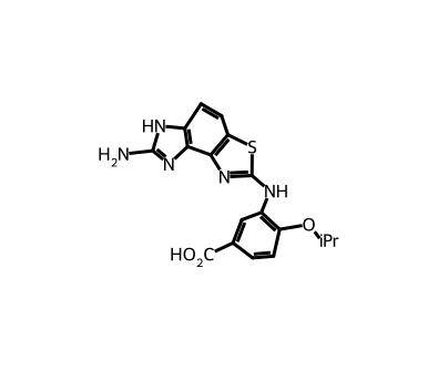 CC(C)Oc1ccc(C(=O)O)cc1Nc1nc2c(ccc3[nH]c(N)nc32)s1